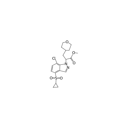 COC(=O)C(CC1CCOCC1)n1ncc2c(S(=O)(=O)C3CC3)ccc(Cl)c21